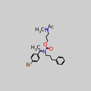 CC(=O)N(C)CCCOC(=O)N(CCCc1ccccc1)[C@@H](C)c1ccc(Br)cc1